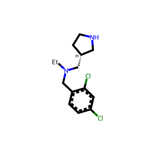 CCN(Cc1ccc(Cl)cc1Cl)C[C@@H]1CCNC1